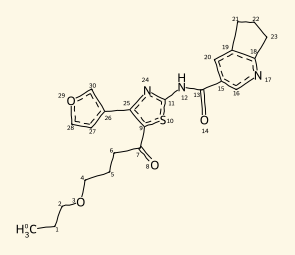 CCCOCCCC(=O)c1sc(NC(=O)c2cnc3c(c2)CCC3)nc1-c1ccoc1